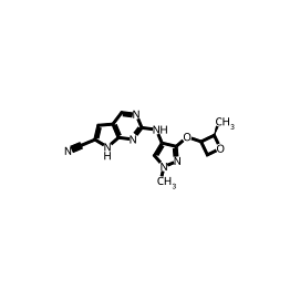 C[C@H]1OCC1Oc1nn(C)cc1Nc1ncc2cc(C#N)[nH]c2n1